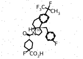 CC(F)(c1ccc2c(c1)CC[C@H]1N(C(=O)[C@H]3CC[C@](F)(C(=O)O)CC3)CC[C@@]21Cc1ccc(F)cc1)C(F)(F)F